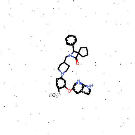 O=C(O)c1ccc(N2CCC(CN3C(=O)C4(CCCC4)C3c3ccccc3)CC2)cc1Oc1cnc2[nH]ccc2c1